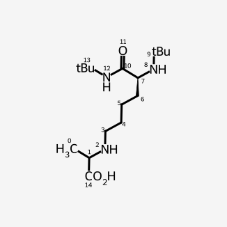 CC(NCCCC[C@H](NC(C)(C)C)C(=O)NC(C)(C)C)C(=O)O